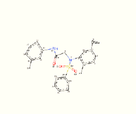 COc1ccc(C)c(N(CC(=O)Nc2cccc(C)c2)S(=O)(=O)c2ccccc2)c1